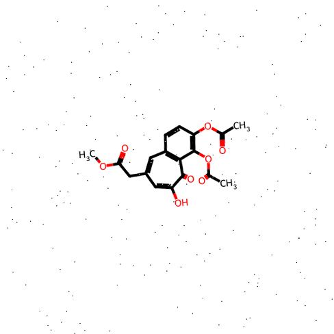 COC(=O)Cc1cc(O)c(=O)c2c(OC(C)=O)c(OC(C)=O)ccc2c1